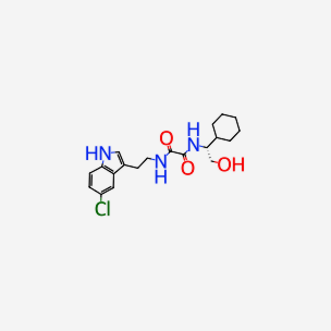 O=C(NCCc1c[nH]c2ccc(Cl)cc12)C(=O)N[C@@H](CO)C1CCCCC1